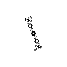 CCC[C@@H](F)C(=O)OC1CCC(COc2ccc(OCC3CCC(OC(=O)[C@H](F)CCC)CC3)cc2)CC1